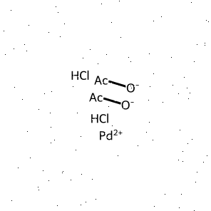 CC(=O)[O-].CC(=O)[O-].Cl.Cl.[Pd+2]